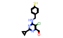 O=Cc1nc(C2CC2)nc(NCc2ccc(S)cc2)c1Cl